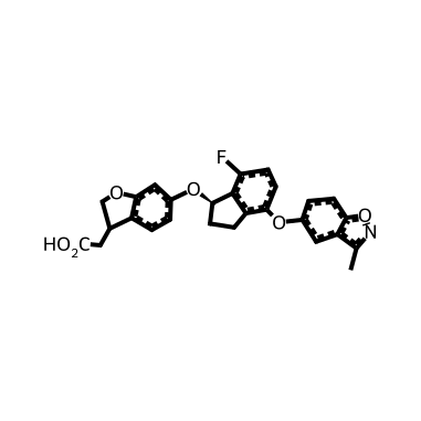 Cc1noc2ccc(Oc3ccc(F)c4c3CC[C@H]4Oc3ccc4c(c3)OCC4CC(=O)O)cc12